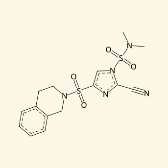 CN(C)S(=O)(=O)n1cc(S(=O)(=O)N2CCc3ccccc3C2)nc1C#N